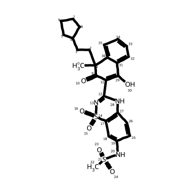 CC1(CCC2CCCC2)C(=O)C(C2=NS(=O)(=O)c3cc(NS(C)(=O)=O)ccc3N2)=C(O)c2ccccc21